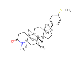 CSc1ccc([C@H]2CC[C@H]3[C@@H]4[C@@H](C)C[C@H]5N(C)C(=O)CC[C@]5(C)[C@H]4CC[C@]23C)cc1